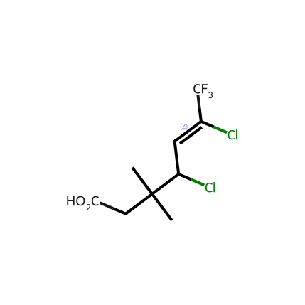 CC(C)(CC(=O)O)C(Cl)/C=C(\Cl)C(F)(F)F